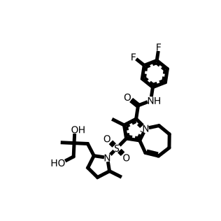 Cc1c(S(=O)(=O)N2C(C)CCC2CC(C)(O)CO)c2n(c1C(=O)Nc1ccc(F)c(F)c1)CCCC=C2